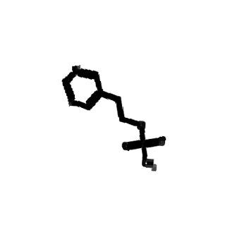 CS(=O)(=O)OCCc1cncnc1